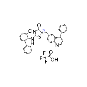 O=C(O)C(F)(F)F.O=C1N=C(Nc2c(Cl)cccc2-c2ccccc2)S/C1=C\c1ccc2nccc(-c3ccccc3)c2c1